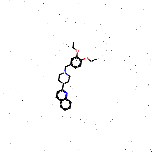 CCOc1ccc(CN2CCC(c3c[c]c4ccccc4n3)CC2)cc1OCC